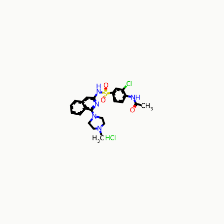 CC(=O)Nc1ccc(S(=O)(=O)Nc2cc3ccccc3c(N3CCN(C)CC3)n2)cc1Cl.Cl